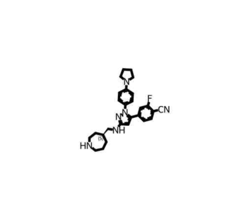 N#Cc1ccc(-c2cc(NC[C@H]3CCCNCC3)nn2-c2ccc(N3CCCC3)cc2)cc1F